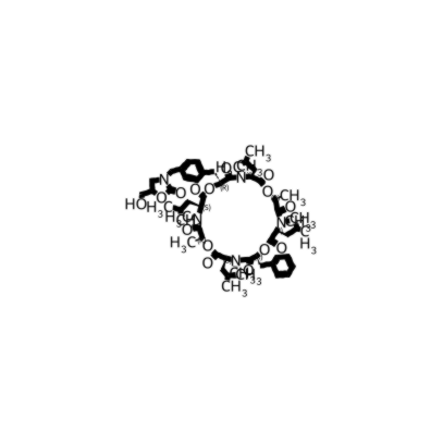 CC(C)C[C@H]1C(=O)O[C@H](Cc2ccc(CN3CC(CO)OC3=O)cc2)C(=O)N(C)[C@@H](CC(C)C)C(=O)O[C@H](C)C(=O)N(C)[C@@H](CC(C)C)C(=O)O[C@H](Cc2ccccc2)C(=O)N(C)[C@@H](CC(C)C)C(=O)O[C@H](C)C(=O)N1C